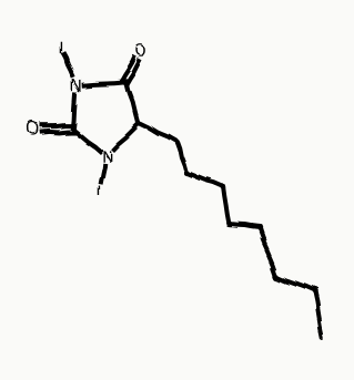 CCCCCCCCC1C(=O)N(I)C(=O)N1I